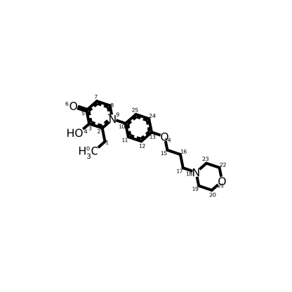 CCc1c(O)c(=O)ccn1-c1ccc(OCCCN2CCOCC2)cc1